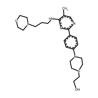 Cc1cnc(-c2ccc(N3CCN(CCO)CC3)cc2)nc1NCCCN1CCOCC1